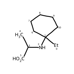 CCC1(NC(C)C(=O)O)CCCCC1